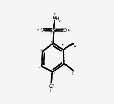 Cc1c(Cl)ccc(S(N)(=O)=O)c1C